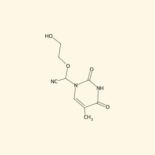 Cc1cn(C(C#N)OCCO)c(=O)[nH]c1=O